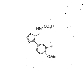 COc1ccc(-c2sccc2CNC(=O)O)cc1F